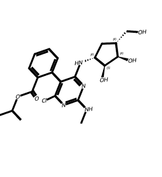 CNc1nc(Cl)c(-c2ccccc2C(=O)OC(C)C)c(N[C@@H]2C[C@H](CO)[C@@H](O)[C@H]2O)n1